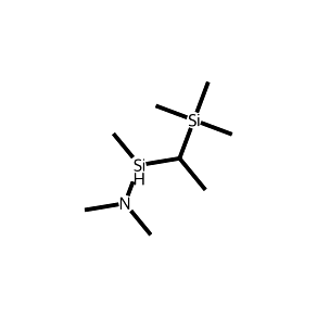 CC([SiH](C)N(C)C)[Si](C)(C)C